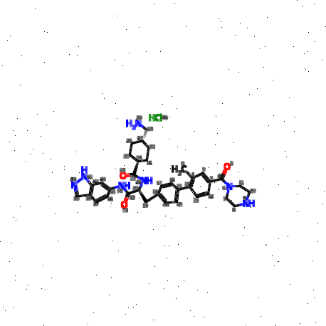 Cc1cc(C(=O)N2CCNCC2)ccc1-c1ccc(C[C@H](NC(=O)[C@H]2CC[C@H](CN)CC2)C(=O)Nc2ccc3cn[nH]c3c2)cc1.Cl